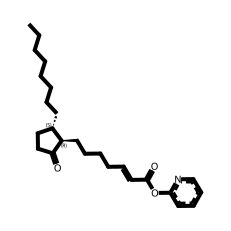 CCCCCCCC[C@H]1CCC(=O)[C@@H]1CCCCC=CC(=O)Oc1ccccn1